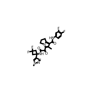 Cc1c(C(=O)Nc2ccc(F)c(F)c2)c2n(c1C(=O)C(=O)NC1(c3cn(C)nn3)CC(F)(F)C1)CCC2